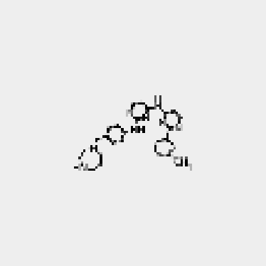 Cc1cccc(-c2nccc(Nc3ccnc(Nc4ccc(CN5CCCNCC5)cc4)n3)n2)n1